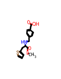 COC(=O)C(Cc1cccs1)NCc1ccc(C(=O)O)cc1